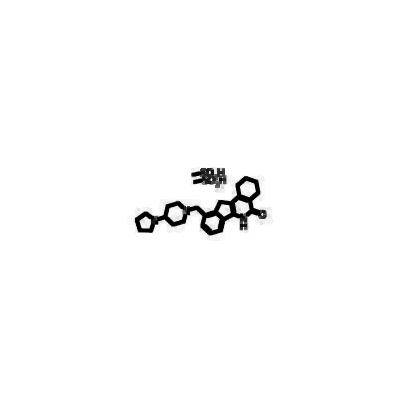 CS(=O)(=O)O.CS(=O)(=O)O.O=c1[nH]c2c(c3c1CCCC3)Cc1c(CN3CCC(N4CCCC4)CC3)cccc1-2